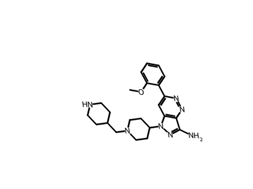 COc1ccccc1-c1cc2c(nn1)c(N)nn2C1CCN(CC2CCNCC2)CC1